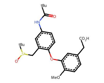 COc1ccc(CC(=O)O)cc1Oc1ccc(NC(=O)C(C)(C)C)cc1C[S+]([O-])C(C)(C)C